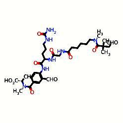 C[C@@H](C(=O)O)N(C)C(=O)c1ccc(NC(=O)C(CCCNC(N)=O)NC(=O)CNC(=O)CCCCCN(C)C(=O)C(C)(C)CC=O)c(C=O)c1